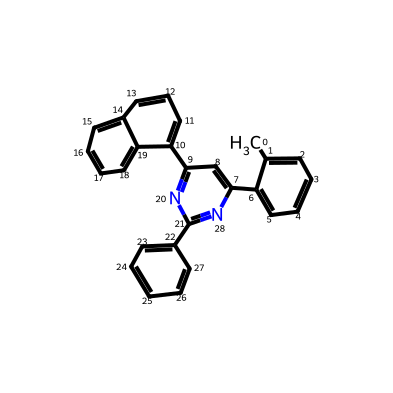 Cc1ccccc1-c1cc(-c2cccc3ccccc23)nc(-c2ccccc2)n1